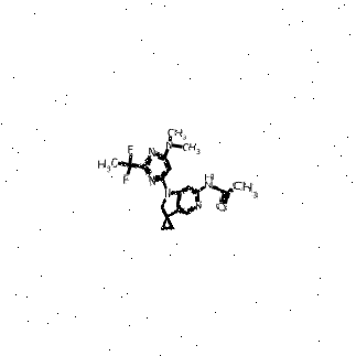 CC(=O)Nc1cc2c(cn1)C1(CC1)CN2c1cc(N(C)C)nc(C(C)(F)F)n1